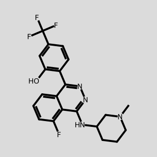 CN1CCCC(Nc2nnc(-c3ccc(C(F)(F)F)cc3O)c3cccc(F)c23)C1